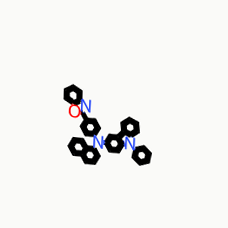 c1ccc(-n2c3ccccc3c3cc(N(c4ccc(-c5nc6ccccc6o5)cc4)c4cccc5ccccc45)ccc32)cc1